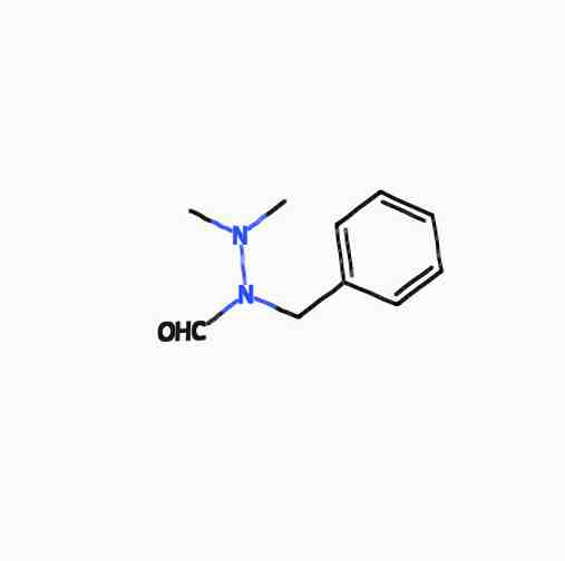 CN(C)N(C=O)Cc1ccccc1